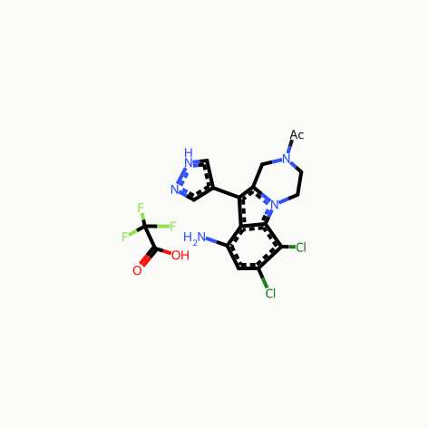 CC(=O)N1CCn2c(c(-c3cn[nH]c3)c3c(N)cc(Cl)c(Cl)c32)C1.O=C(O)C(F)(F)F